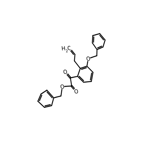 C=CCc1c(OCc2ccccc2)cccc1C(=O)C(=O)OCc1ccccc1